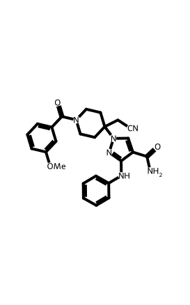 COc1cccc(C(=O)N2CCC(CC#N)(n3cc(C(N)=O)c(Nc4ccccc4)n3)CC2)c1